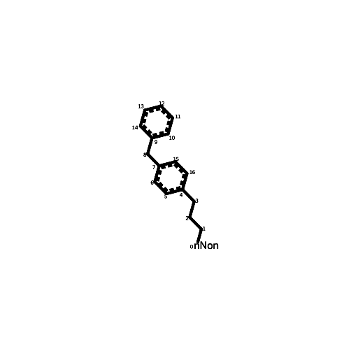 CCCCCCCCCCCCc1ccc(Cc2ccccc2)cc1